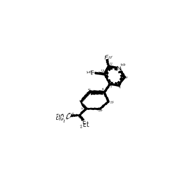 CCOC(=O)C(CC)C1CC=C(c2ccnc(F)c2F)CC1